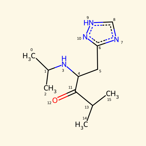 CC(C)NC(Cc1nc[nH]n1)C(=O)C(C)C